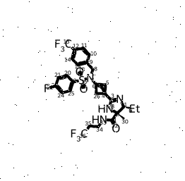 CC[C@@H]1N=C(C23CC(N(Cc4ccc(C(F)(F)F)cc4)S(=O)(=O)c4ccc(F)cc4)(C2)C3)N[C@@]1(C)C(=O)NCCC(F)(F)F